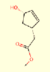 COC(=O)C[C@H]1C=C[C@@H](O)C1